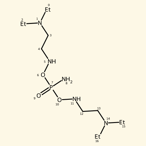 CCN(CC)CCNOP(N)(=O)ONCCN(CC)CC